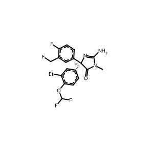 CCc1cc([C@]2(c3ccc(F)c(CF)c3)N=C(N)N(C)C2=O)ccc1OC(F)F